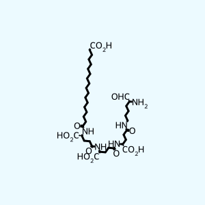 N[C@H](C=O)CCCCNC(=O)CC[C@H](NC(=O)CCC(NC(=O)CC[C@H](NC(=O)CCCCCCCCCCCCCCCCC(=O)O)C(=O)O)C(=O)O)C(=O)O